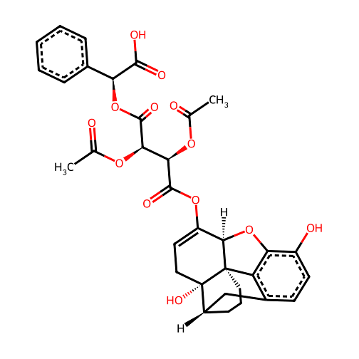 CC(=O)O[C@@H](C(=O)OC1=CC[C@]2(O)[C@H]3CCC[C@]24c2c(ccc(O)c2O[C@H]14)C3)[C@@H](OC(C)=O)C(=O)O[C@H](C(=O)O)c1ccccc1